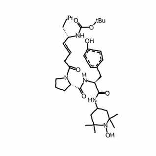 CC(C)C[C@@H](/C=C/CC(=O)N1CCC[C@H]1C(=O)N[C@@H](Cc1ccc(O)cc1)C(=O)NC1CC(C)(C)N(O)C(C)(C)C1)NC(=O)OC(C)(C)C